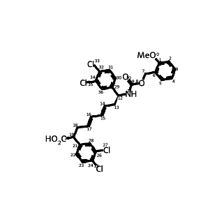 COc1ccccc1COC(=O)N[C@@H](CC=CC=CCC(C(=O)O)c1ccc(Cl)c(Cl)c1)c1ccc(Cl)c(Cl)c1